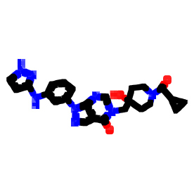 O=C(C1CC1)N1CCC(O)(Cn2cnc3c(cnn3-c3cccc(Nc4cc[nH]n4)c3)c2=O)CC1